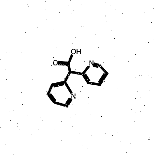 O=C(O)C(c1ccccn1)c1ccccn1